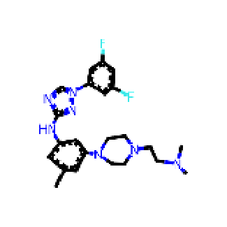 Cc1cc(Nc2ncn(-c3cc(F)cc(F)c3)n2)cc(N2CCN(CCN(C)C)CC2)c1